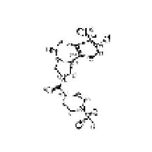 CNC1CN(C(=O)N2CCN(S(C)(=O)=O)CC2)CC1c1ccc(Cl)c(Cl)c1